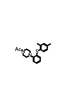 CC(=O)N1CCN(c2ccccc2Sc2ccc(C)cc2C)CC1